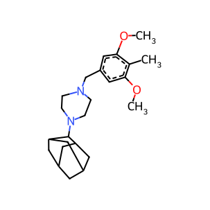 COc1cc(CN2CCN(C3C4CC5CC(C4)CC3C5)CC2)cc(OC)c1C